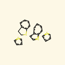 c1ccc2c(c1)CCS2.c1ccc2sccc2c1.c1ccsc1.c1ccsc1